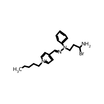 CCCCC[n+]1ccc(/C=N/N(CCC(N)Br)c2ccccc2)cc1